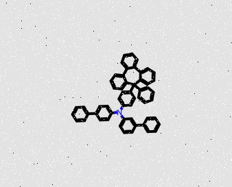 c1ccc(-c2ccc(N(c3ccc(C4(c5ccccc5)c5ccccc5-c5ccccc5-c5ccccc54)cc3)c3cccc(-c4ccccc4)c3)cc2)cc1